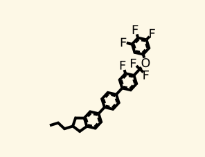 CCCC1Cc2ccc(-c3ccc(-c4ccc(C(F)(F)Oc5cc(F)c(F)c(F)c5)c(F)c4)cc3)cc2C1